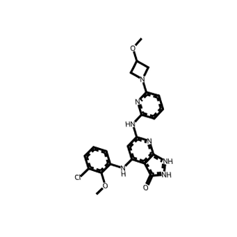 COc1c(Cl)cccc1Nc1cc(Nc2cccc(N3CC(OC)C3)n2)nc2[nH][nH]c(=O)c12